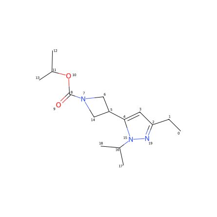 CCc1cc(C2CN(C(=O)OC(C)C)C2)n(C(C)C)n1